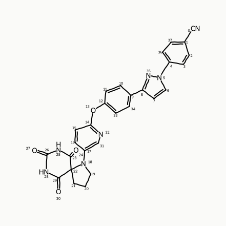 N#Cc1ccc(-n2ccc(-c3ccc(Oc4ccc(N5CCCC56C(=O)NC(=O)NC6=O)cn4)cc3)n2)cc1